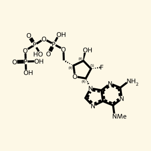 CNc1nc(N)nc2c1ncn2[C@@H]1O[C@H](COP(=O)(O)OP(=O)(O)OP(=O)(O)O)[C@@H](O)[C@@H]1F